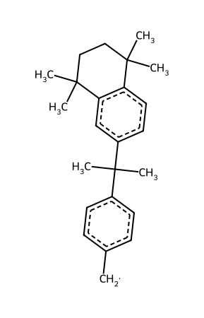 [CH2]c1ccc(C(C)(C)c2ccc3c(c2)C(C)(C)CCC3(C)C)cc1